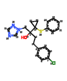 OC(CCc1ccc(Cl)cc1)(Cn1cncn1)C1(Sc2ccccc2)CC1